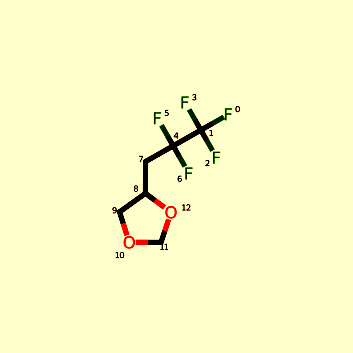 FC(F)(F)C(F)(F)CC1COCO1